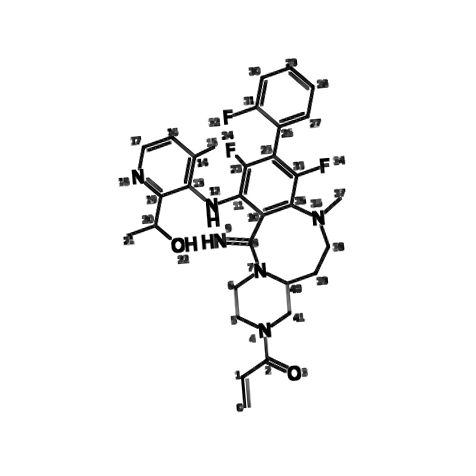 C=CC(=O)N1CCN2C(=N)c3c(Nc4c(C)ccnc4C(C)O)c(F)c(-c4ccccc4F)c(F)c3N(C)CCC2C1